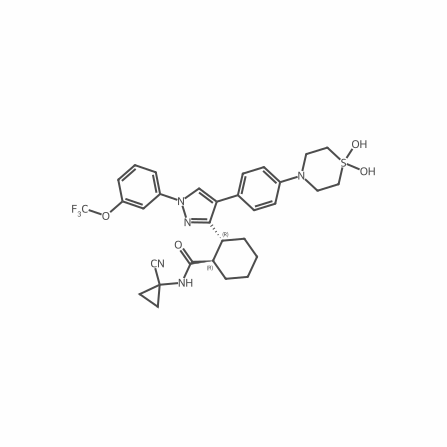 N#CC1(NC(=O)[C@@H]2CCCC[C@H]2c2nn(-c3cccc(OC(F)(F)F)c3)cc2-c2ccc(N3CCS(O)(O)CC3)cc2)CC1